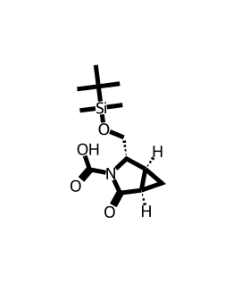 CC(C)(C)[Si](C)(C)OC[C@@H]1[C@H]2C[C@H]2C(=O)N1C(=O)O